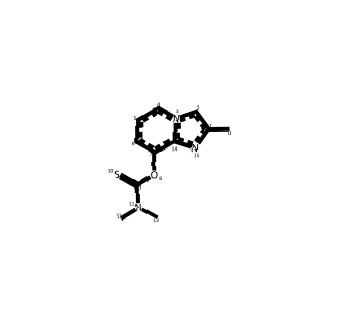 Cc1cn2cccc(OC(=S)N(C)C)c2n1